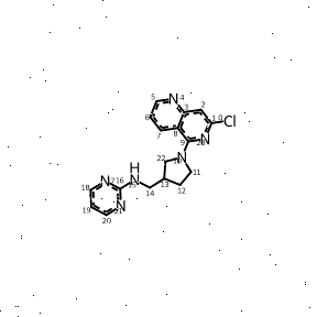 Clc1cc2ncccc2c(N2CCC(CNc3ncccn3)C2)n1